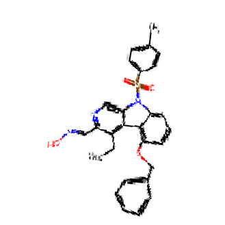 COCc1c(/C=N/O)ncc2c1c1c(OCc3ccccc3)cccc1n2S(=O)(=O)c1ccc(C)cc1